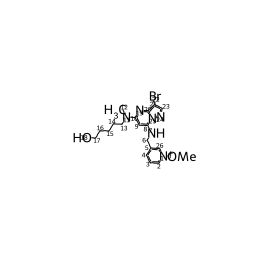 CO[n+]1cccc(CNc2cc(N(C)CCCCCO)nc3c(Br)cnn23)c1